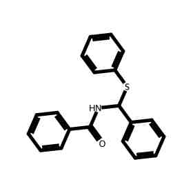 O=C(NC(Sc1ccccc1)c1ccccc1)c1ccccc1